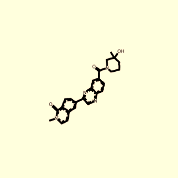 Cn1ccc2cc(-c3cnc4ccc(C(=O)N5CCCC(C)(O)C5)cc4n3)ccc2c1=O